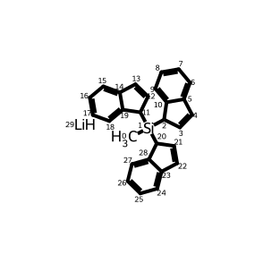 C[Si](C1C=Cc2ccccc21)(C1C=Cc2ccccc21)C1C=Cc2ccccc21.[LiH]